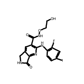 O=C(NOCCO)c1cc2c(nc1Nc1ccc(I)cc1F)C(=O)NC2